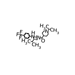 CC(C)[C@H](CNC(=O)C1CCN(C(C)C)CC1)Nc1ccc(C(F)(F)F)cc1